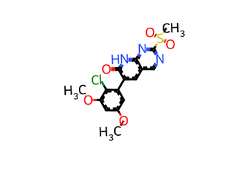 COc1cc(OC)c(Cl)c(-c2cc3cnc(S(C)(=O)=O)nc3[nH]c2=O)c1